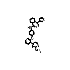 Nc1nccc(-c2cccnc2Oc2ccc(Nc3nnc(-c4ccsc4)c4ccccc34)cc2)n1